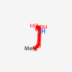 CNC(=O)OCc1ccc(OC(=O)CCOCCOCCOCCOCCOCCOCCNC(=S)Nc2ccc3c(c2)C(=O)OC32c3ccc(O)cc3Cc3cc(O)ccc32)cc1